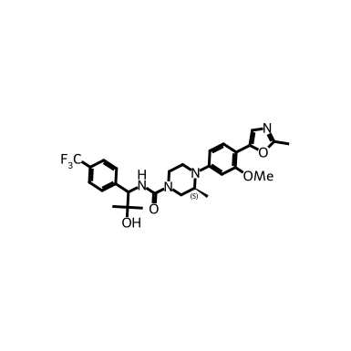 COc1cc(N2CCN(C(=O)NC(c3ccc(C(F)(F)F)cc3)C(C)(C)O)C[C@@H]2C)ccc1-c1cnc(C)o1